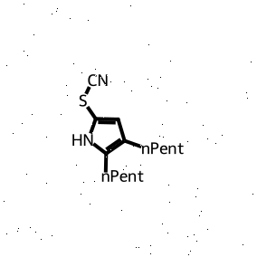 CCCCCc1cc(SC#N)[nH]c1CCCCC